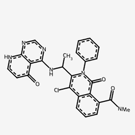 CNC(=O)c1cccc2c(Cl)c(C(C)Nc3ncnc4[nH]ccc(=O)c34)n(-c3ccccc3)c(=O)c12